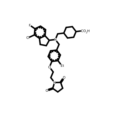 CCc1cc(CN(CC2CCC(C(=O)O)CC2)C2CCc3c2ccc(F)c3Cl)ccc1OCCN1C(=O)CCC1=O